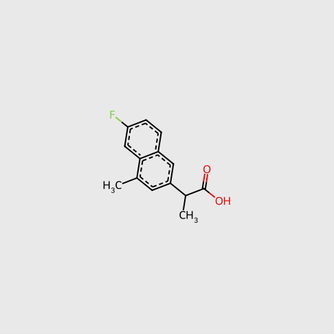 Cc1cc(C(C)C(=O)O)cc2ccc(F)cc12